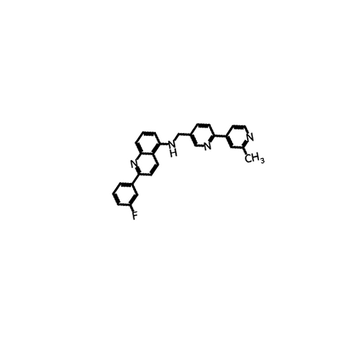 Cc1cc(-c2ccc(CNc3cccc4nc(-c5cccc(F)c5)ccc34)cn2)ccn1